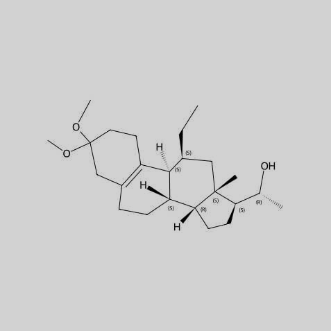 CC[C@H]1C[C@@]2(C)[C@H](CC[C@@H]2[C@@H](C)O)[C@@H]2CCC3=C(CCC(OC)(OC)C3)[C@@H]12